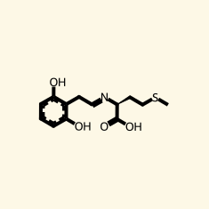 CSCC[C@H](N=CCc1c(O)cccc1O)C(=O)O